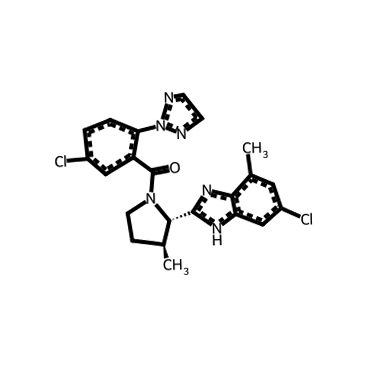 Cc1cc(Cl)cc2[nH]c([C@@H]3[C@@H](C)CCN3C(=O)c3cc(Cl)ccc3-n3nccn3)nc12